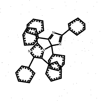 c1ccc(C2=NC(c3ccccc3)(n3c(-c4ccccc4)nc(-c4ccccc4)c3-c3ccccc3)C(c3ccccc3)=N2)cc1